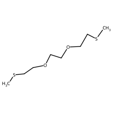 CSCCOCCOCCSC